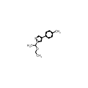 CCOC(C)n1cc(-c2ccc(C)cc2)cn1